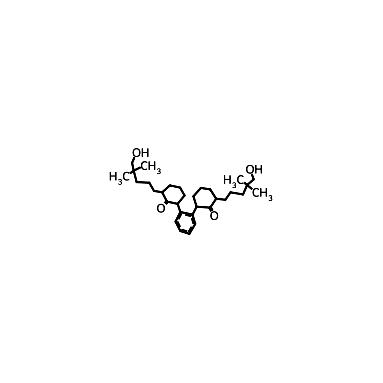 CC(C)(CO)CCCC1CCCC(c2ccccc2C2CCCC(CCCC(C)(C)CO)C2=O)C1=O